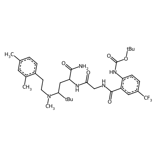 Cc1ccc(CCN(C)C(CC(NC(=O)CNC(=O)c2cc(C(F)(F)F)ccc2NC(=O)OC(C)(C)C)C(N)=O)C(C)(C)C)c(C)c1